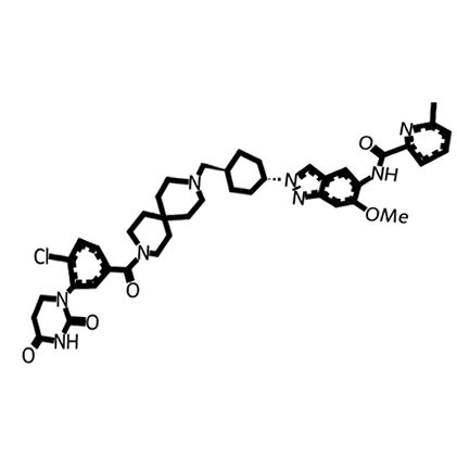 COc1cc2nn([C@H]3CC[C@H](CN4CCC5(CC4)CCN(C(=O)c4ccc(Cl)c(N6CCC(=O)NC6=O)c4)CC5)CC3)cc2cc1NC(=O)c1cccc(C)n1